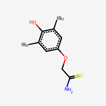 CC(C)(C)c1cc(OCC(N)=S)cc(C(C)(C)C)c1O